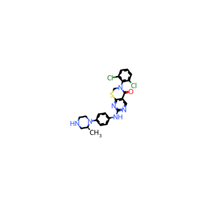 C[C@H]1CNCCN1c1ccc(Nc2ncc3c(n2)SCN(c2c(Cl)cccc2Cl)C3=O)cc1